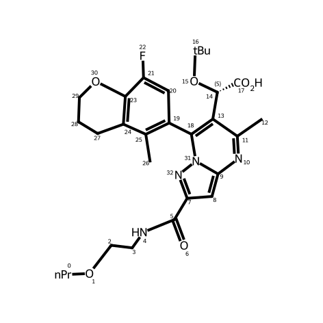 CCCOCCNC(=O)c1cc2nc(C)c([C@H](OC(C)(C)C)C(=O)O)c(-c3cc(F)c4c(c3C)CCCO4)n2n1